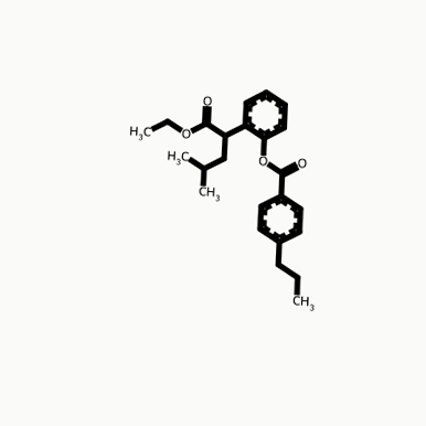 CCCc1ccc(C(=O)Oc2ccccc2C(CC(C)C)C(=O)OCC)cc1